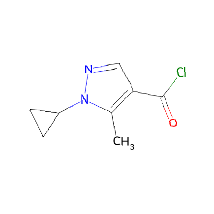 Cc1c(C(=O)Cl)cnn1C1CC1